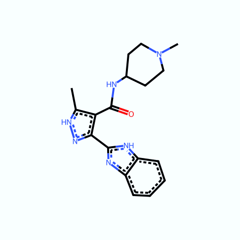 Cc1[nH]nc(-c2nc3ccccc3[nH]2)c1C(=O)NC1CCN(C)CC1